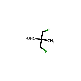 CC([C]=O)(CF)CF